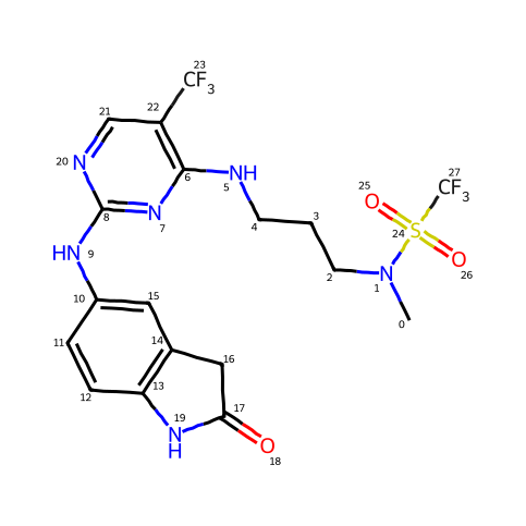 CN(CCCNc1nc(Nc2ccc3c(c2)CC(=O)N3)ncc1C(F)(F)F)S(=O)(=O)C(F)(F)F